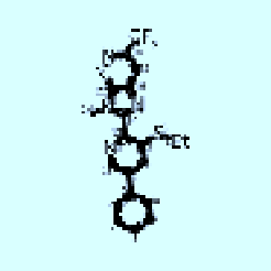 CCSc1cc(-c2ccccc2)cnc1-c1nc2cc(C(F)(F)F)nnc2n1C